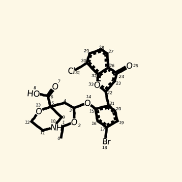 CCOC(CC1(C(=O)O)CNCCO1)Oc1cc(Br)ccc1-c1cc(=O)c2cccc(Cl)c2o1